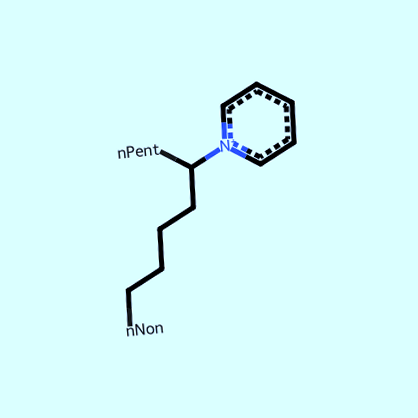 CCCCCCCCCCCCCC(CCCCC)[n+]1ccccc1